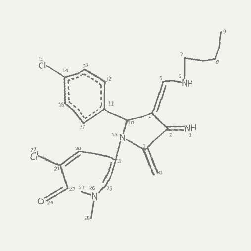 C=C1C(=N)/C(=C\NCCC)C(c2ccc(Cl)cc2)N1C(/C=C(/Cl)C=O)=C/N(C)C